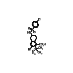 C[Si](C)(C)c1c(Br)cc2c(c1C(=O)O)CCC(NS(=O)(=O)c1ccc(Cl)cc1)C2